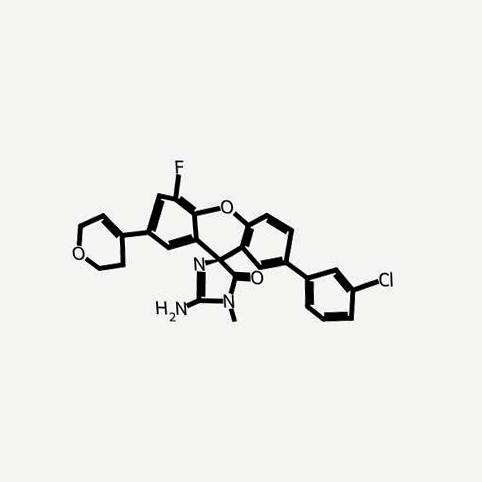 CN1C(=O)[C@@]2(N=C1N)c1cc(-c3cccc(Cl)c3)ccc1Oc1c(F)cc(C3=CCOCC3)cc12